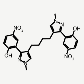 Cn1cc(CCCCc2cn(C)nc2-c2cc([N+](=O)[O-])ccc2O)c(-c2cc([N+](=O)[O-])ccc2O)n1